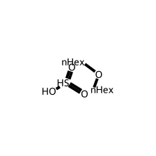 CCCCCCOCCCCCC.O=[SH](=O)O